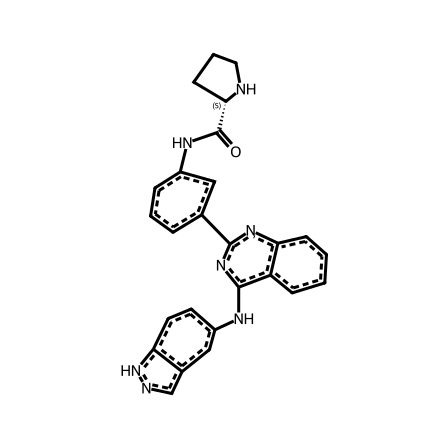 O=C(Nc1cccc(-c2nc(Nc3ccc4[nH]ncc4c3)c3ccccc3n2)c1)[C@@H]1CCCN1